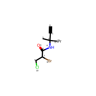 C#CC(C)(NC(=O)C(Br)CCl)C(C)C